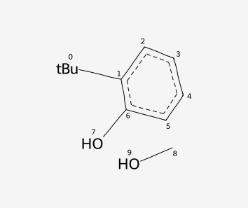 CC(C)(C)c1ccccc1O.CO